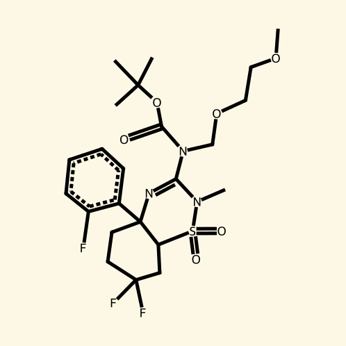 COCCOCN(C(=O)OC(C)(C)C)C1=NC2(c3ccccc3F)CCC(F)(F)CC2S(=O)(=O)N1C